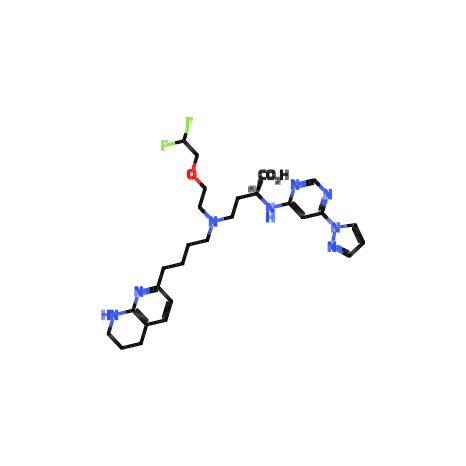 O=C(O)[C@H](CCN(CCCCc1ccc2c(n1)NCCC2)CCOCC(F)F)Nc1cc(-n2cccn2)ncn1